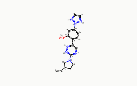 CNC1CCN(c2ncc(-c3ccc(-n4nccn4)cc3O)nn2)C1